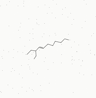 [CH2]CCCCC/C=C/C(C[CH2])CC